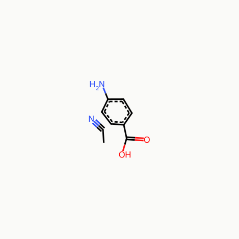 CC#N.Nc1ccc(C(=O)O)cc1